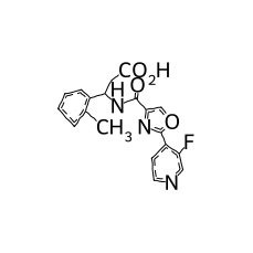 Cc1ccccc1C(CC(=O)O)NC(=O)c1coc(-c2ccncc2F)n1